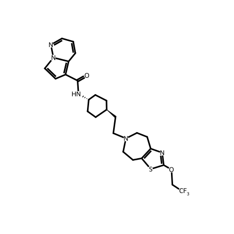 O=C(N[C@H]1CC[C@H](CCN2CCc3nc(OCC(F)(F)F)sc3CC2)CC1)c1ccn2ncccc12